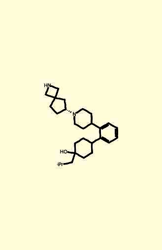 C[C](C)CC1(O)CCC(c2ccccc2C2CCN([C@@H]3CCC4(CNC4)C3)CC2)CC1